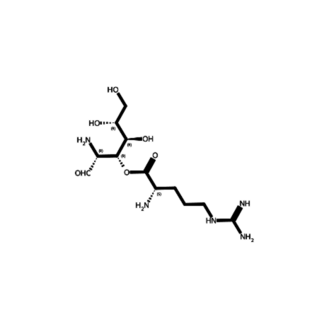 N=C(N)NCCC[C@H](N)C(=O)O[C@@H]([C@H](O)[C@H](O)CO)[C@@H](N)C=O